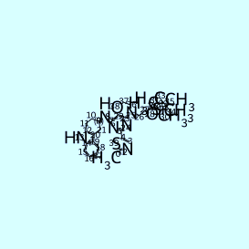 Cc1ncc(-c2nc(N[C@@H]3CCc4[nH]c5ccccc5c4C3)c3c(n2)N(CCO[Si](C)(C)C(C)(C)C)CCO3)s1